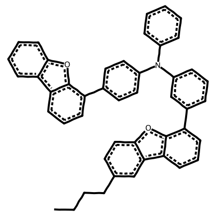 CCCCc1ccc2oc3c(-c4cccc(N(c5ccccc5)c5ccc(-c6cccc7c6oc6ccccc67)cc5)c4)cccc3c2c1